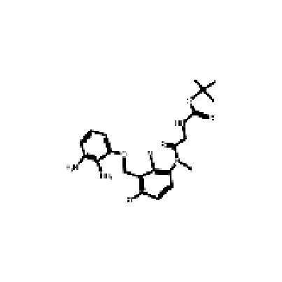 CN(C(=O)CNC(=O)OC(C)(C)C)c1ccc(Cl)c(COc2cccc(N)c2N)c1Cl